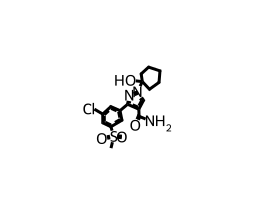 CS(=O)(=O)c1cc(Cl)cc(-c2nn(C3(O)CCCCC3)cc2C(N)=O)c1